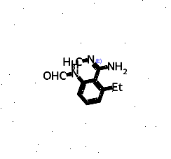 CCc1cccc(NC=O)c1/C(N)=N\C